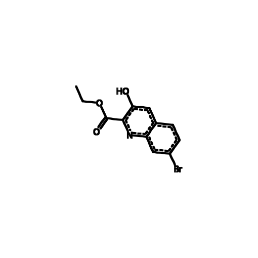 CCOC(=O)c1nc2cc(Br)ccc2cc1O